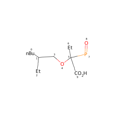 CCCCC(CC)COC(CC)(P=O)C(=O)O